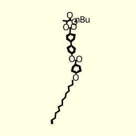 C=CCCCCCCCCCCCCOc1ccc(C(=O)Oc2ccc(-c3ccc(C(=O)OC(C)C(=O)OCCCC)cc3)cc2)cc1